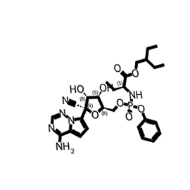 CCC(CC)COC(=O)[C@H](CC)NP(=O)(OC[C@H]1O[C@@](C#N)(c2ccc3c(N)ncnn23)[C@H](O)[C@@H]1O)Oc1ccccc1